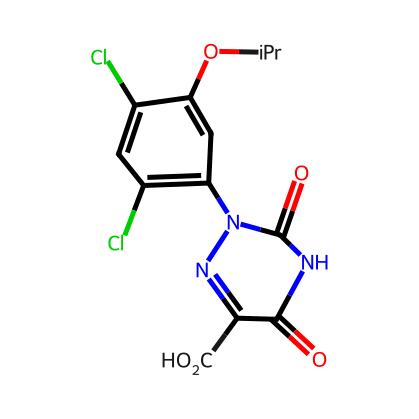 CC(C)Oc1cc(-n2nc(C(=O)O)c(=O)[nH]c2=O)c(Cl)cc1Cl